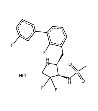 CS(=O)(=O)N[C@@H]1[C@H](Cc2cccc(-c3cccc(F)c3)c2F)NCC1(F)F.Cl